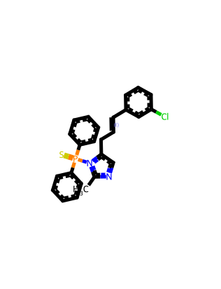 Cc1ncc(C/C=C/c2cccc(Cl)c2)n1P(=S)(c1ccccc1)c1ccccc1